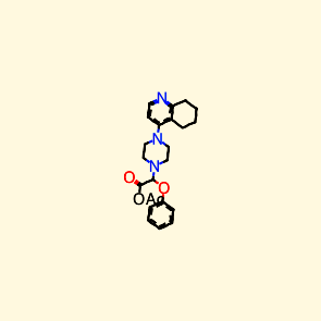 CC(=O)OC(=O)C(Oc1ccccc1)N1CCN(c2ccnc3c2CCCC3)CC1